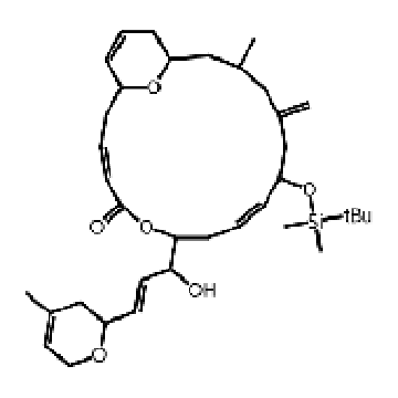 C=C1CC(C)CC2CC=CC(CC=CC(=O)OC(C(O)C=CC3CC(C)=CCO3)CC=CC(O[Si](C)(C)C(C)(C)C)C1)O2